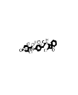 O=C(Nc1ccc(C[C@H](NC2=C(Cl)C(=O)C23CCCCC3)C(=O)O)cc1)c1c(Cl)c[n+]([O-])cc1Cl